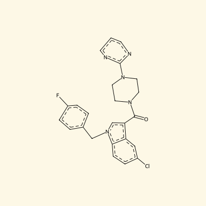 O=C(c1cn(Cc2ccc(F)cc2)c2ccc(Cl)cc12)N1CCN(c2ncccn2)CC1